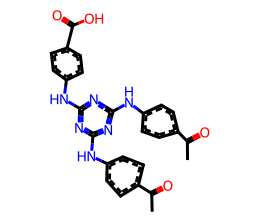 CC(=O)c1ccc(Nc2nc(Nc3ccc(C(C)=O)cc3)nc(Nc3ccc(C(=O)O)cc3)n2)cc1